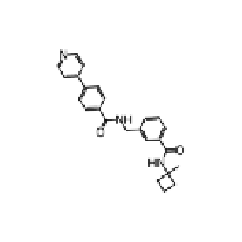 CC1(NC(=O)c2cccc(CNC(=O)c3ccc(-c4ccncc4)cc3)c2)CCC1